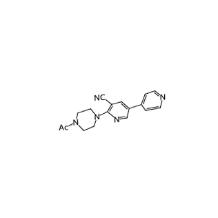 CC(=O)N1CCN(c2ncc(-c3ccncc3)cc2C#N)CC1